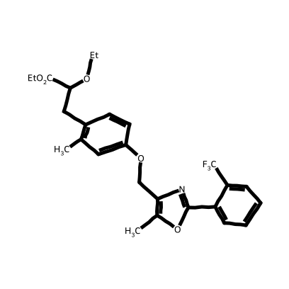 CCOC(=O)C(Cc1ccc(OCc2nc(-c3ccccc3C(F)(F)F)oc2C)cc1C)OCC